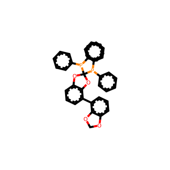 c1ccc(P(c2ccccc2)C2(P(c3ccccc3)c3ccccc3)Oc3cccc(-c4cccc5c4OCO5)c3O2)cc1